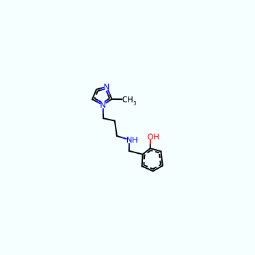 Cc1nccn1CCCNCc1ccccc1O